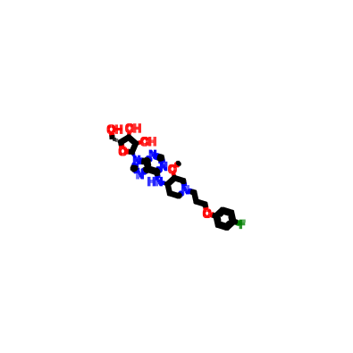 CO[C@H]1CN(CCCOc2ccc(F)cc2)CC[C@H]1Nc1ncnc2c1ncn2[C@@H]1O[C@H](CO)[C@@H](O)[C@H]1O